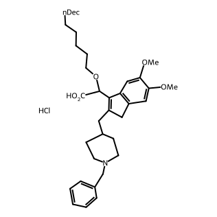 CCCCCCCCCCCCCCCOC(C(=O)O)C1=C(CC2CCN(Cc3ccccc3)CC2)Cc2cc(OC)c(OC)cc21.Cl